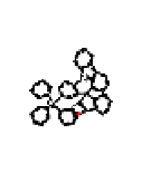 c1ccc([Si](c2ccccc2)(c2ccccc2)c2ccc3c(c2)C2(c4ccccc4-c4ccccc42)c2cccc4c5ccccc5n-3c24)cc1